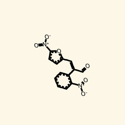 O=C/C(=C/c1ccc([N+](=O)[O-])o1)c1ccccc1[N+](=O)[O-]